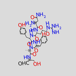 C[C@H](NC(=O)[C@H](Cc1ccc(O)cc1)NC(=O)C(Cc1ccc(O)cc1)NC(=O)C(CCCNC(=N)N)NC(=O)[C@@H](N)CC(N)=O)C(=O)N[C@H](C=O)CO